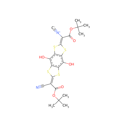 [C-]#[N+]C(C(=O)OC(C)(C)C)=C1Sc2c(O)c3c(c(O)c2S1)SC(=C(C#N)C(=O)OC(C)(C)C)S3